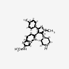 CNc1cn2nc(-c3c(-c4ccc(F)cc4)nn(C)c3N3CCNCC3)ccc2n1